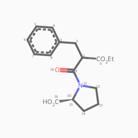 CCOC(=O)C(Cc1ccccc1)C(=O)N1CCC[C@H]1C(=O)O